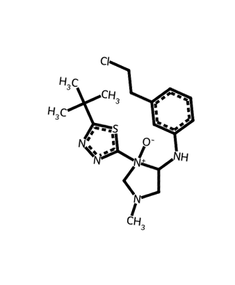 CN1CC(Nc2cccc(CCCl)c2)[N+]([O-])(c2nnc(C(C)(C)C)s2)C1